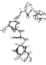 Cc1cc(NCCN(C)C(=O)OC(C)(C)C)nc(NC(=O)Nc2ccc(Cl)c(C(F)(F)F)c2)n1